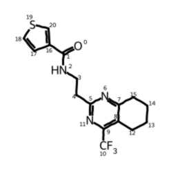 O=C(NCCc1nc2c(c(C(F)(F)F)n1)CCCC2)c1ccsc1